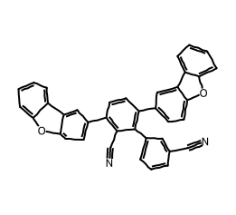 N#Cc1cccc(-c2c(-c3ccc4oc5ccccc5c4c3)ccc(-c3ccc4oc5ccccc5c4c3)c2C#N)c1